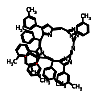 Cc1cccc(C2=Cc3cc4nnc(nc5nc(c(-c6cccc(C)c6)c6c(-c7cccc(C)c7)c(-c7cccc(C)c7)c(c(-c7cccc(C)c7)c2n3)n6-c2cccc(C)c2)C(c2cccc(C)c2)=N5)n4-c2cccc(C)c2)c1